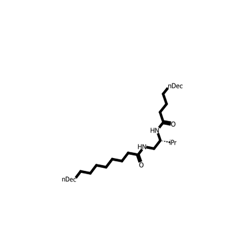 CCCCCCCCCCCCCCCCCC(=O)NC[C@H](NC(=O)CCCCCCCCCCCCC)C(C)C